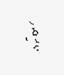 Nc1nc2ncc(CNc3ccc(C(=O)N[C@@H](CCC(=O)O)C(=O)O)cc3)nc2c(=O)[nH]1.O=C(O)/C=C\C(=O)O